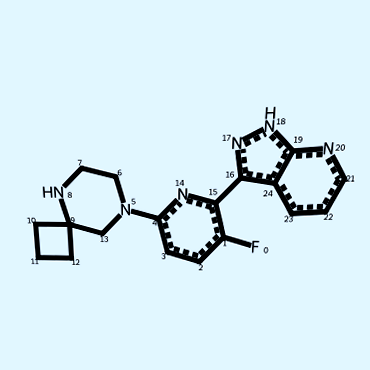 Fc1ccc(N2CCNC3(CCC3)C2)nc1-c1n[nH]c2ncccc12